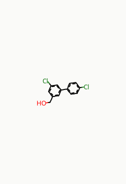 OCc1cc(Cl)cc(-c2ccc(Cl)cc2)c1